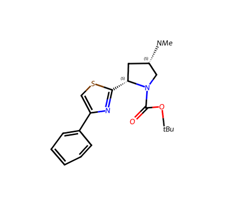 CN[C@H]1C[C@@H](c2nc(-c3ccccc3)cs2)N(C(=O)OC(C)(C)C)C1